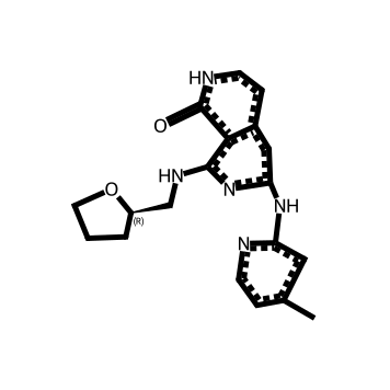 Cc1ccnc(Nc2cc3cc[nH]c(=O)c3c(NC[C@H]3CCCO3)n2)c1